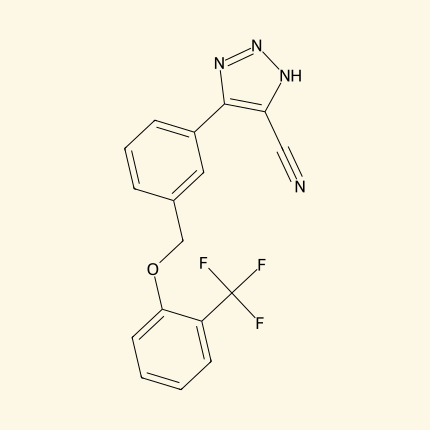 N#Cc1[nH]nnc1-c1cccc(COc2ccccc2C(F)(F)F)c1